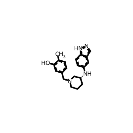 Cc1ccc(CN2CCC[C@@H](Nc3ccc4[nH]ncc4c3)C2)cc1O